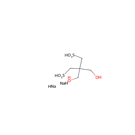 O=S(=O)(O)CC(CO)(CO)CS(=O)(=O)O.[NaH].[NaH]